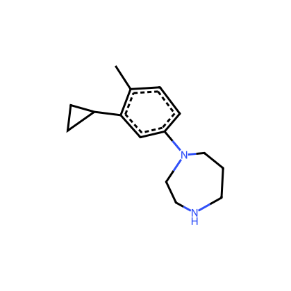 Cc1ccc(N2CCCNCC2)cc1C1CC1